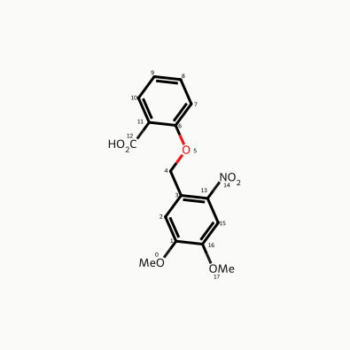 COc1cc(COc2ccccc2C(=O)O)c([N+](=O)[O-])cc1OC